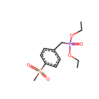 CCOP(=O)(Cc1ccc(S(C)(=O)=O)cc1)OCC